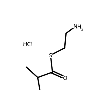 CC(C)C(=O)SCCN.Cl